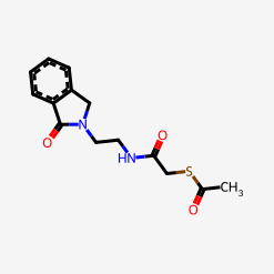 CC(=O)SCC(=O)NCCN1Cc2ccccc2C1=O